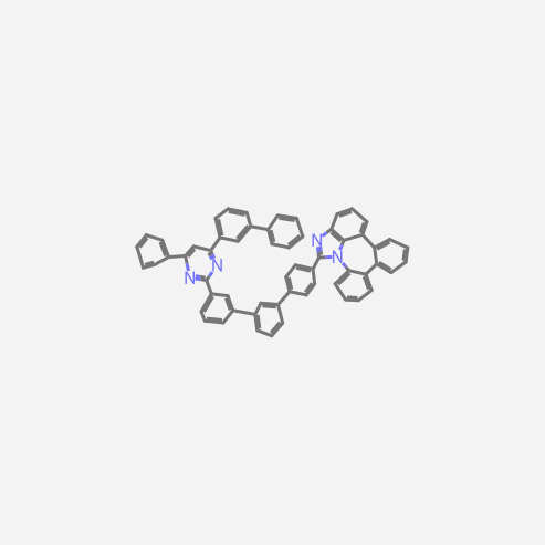 c1ccc(-c2cccc(-c3cc(-c4ccccc4)nc(-c4cccc(-c5cccc(-c6ccc(-c7nc8cccc9c8n7-c7ccccc7-c7ccccc7-9)cc6)c5)c4)n3)c2)cc1